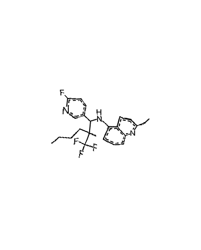 CCCCC(C)(C(Nc1cccc2nc(C)ccc12)c1ccc(F)nc1)C(F)(F)F